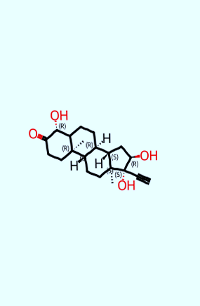 C#C[C@]1(O)[C@H](O)C[C@H]2[C@@H]3CCC4[C@@H](O)C(=O)CC[C@]4(C)[C@H]3CC[C@@]21C